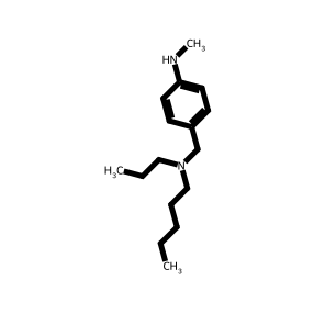 CCCCCN(CCC)Cc1ccc(NC)cc1